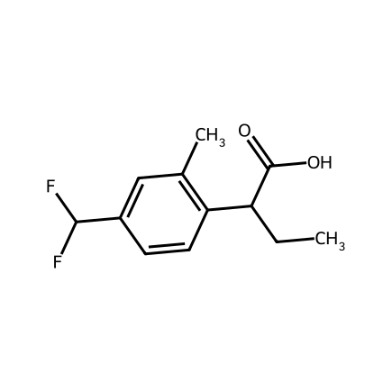 CCC(C(=O)O)c1ccc(C(F)F)cc1C